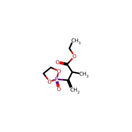 C=C(C(C)C(=O)OCC)P1(=O)OCCO1